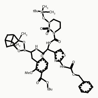 COc1c(CC(NC(=O)C(NC(=O)N2CCCN(O[Si](C)(C)C(C)(C)C)S2(=O)=O)c2csc(NC(=O)OCc3ccccc3)n2)B2OC3CC4CC(C4(C)C)[C@]3(C)O2)cccc1C(=O)OC(C)(C)C